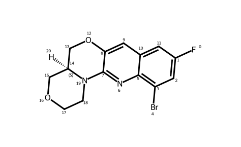 Fc1cc(Br)c2nc3c(cc2c1)OC[C@@H]1COCCN31